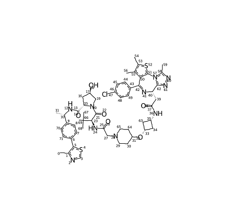 Cc1ncsc1-c1ccc([C@H](C)NC(=O)[C@@H]2C[C@@H](O)CN2C(=O)[C@@H](NC(=O)CN2CCC(O[C@H]3C[C@@H](NC(=O)C[C@@H]4N=C(c5ccc(Cl)cc5)c5c(sc(C)c5C)-n5c(C)nnc54)C3)CC2)C(C)(C)C)cc1